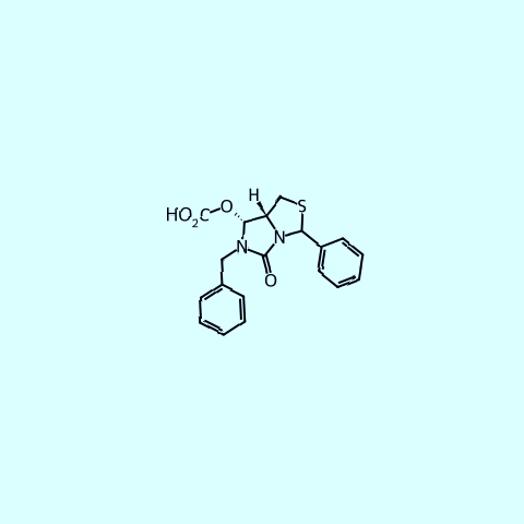 O=C(O)O[C@@H]1[C@@H]2CSC(c3ccccc3)N2C(=O)N1Cc1ccccc1